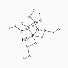 CCCCP(O)(CCCC)(CCCC)O[PH](CC)(CC)CC